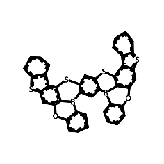 c1ccc2c(c1)Oc1cc3sc4ccccc4c3c3c1B2c1cc2c(cc1S3)Sc1c3c(cc4sc5ccccc5c14)Oc1ccccc1B23